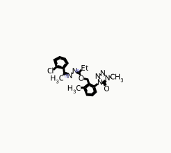 CC/C(=N/N=C(/C)c1ccccc1Cl)OCc1c(C)cccc1-n1nnn(C)c1=O